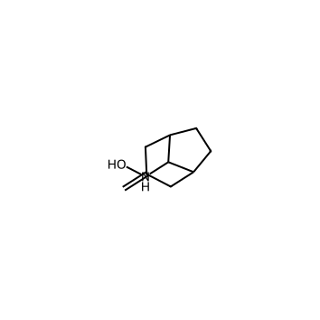 C=C1CC2CCC(C1)C2NO